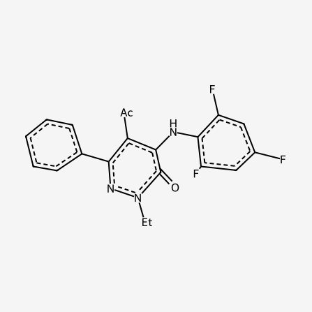 CCn1nc(-c2ccccc2)c(C(C)=O)c(Nc2c(F)cc(F)cc2F)c1=O